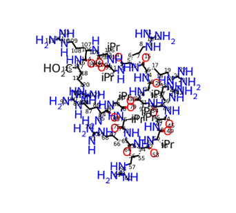 CC(C)[C@H](NC(=O)[C@H](CCCNC(=N)N)NC(=O)[C@H](CCCNC(=N)N)NC(=O)[C@@H](NC(=O)[C@@H](NC(=O)[C@H](CCCNC(=N)N)NC(=O)[C@@H](NC(=O)[C@@H](NC(=O)[C@H](CCCNC(=N)N)NC(=O)[C@H](CCCNC(=N)N)NC(=O)[C@@H](NC(=O)[C@@H](NC(=O)[C@@H](N)CCCNC(=N)N)C(C)C)C(C)C)C(C)C)C(C)C)C(C)C)C(C)C)C(=O)N[C@H](C(=O)N[C@@H](CCCNC(=N)N)C(=O)N[C@@H](CCCNC(=N)N)C(=O)O)C(C)C